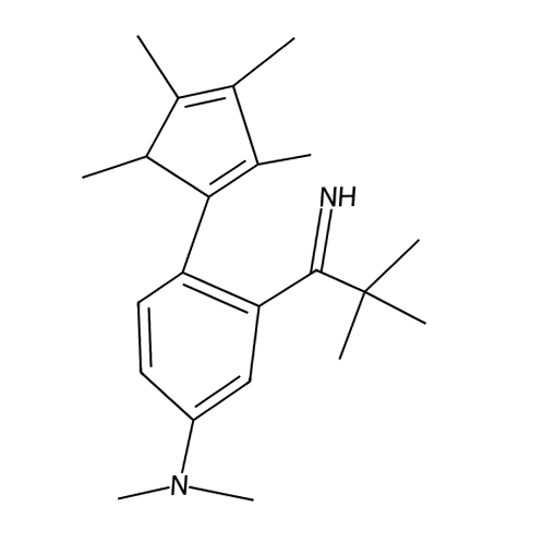 CC1=C(C)C(C)C(c2ccc(N(C)C)cc2C(=N)C(C)(C)C)=C1C